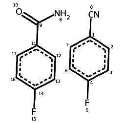 N#Cc1ccc(F)cc1.NC(=O)c1ccc(F)cc1